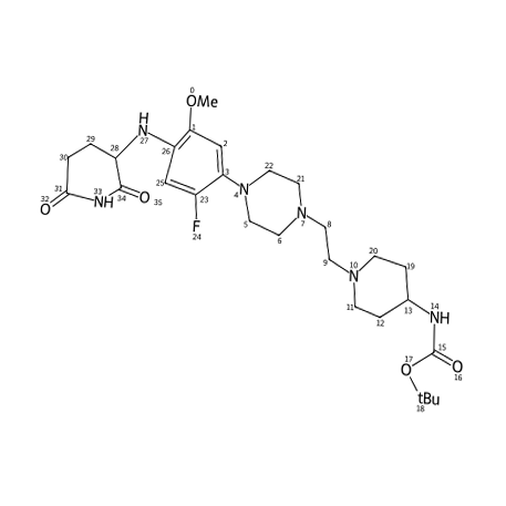 COc1cc(N2CCN(CCN3CCC(NC(=O)OC(C)(C)C)CC3)CC2)c(F)cc1NC1CCC(=O)NC1=O